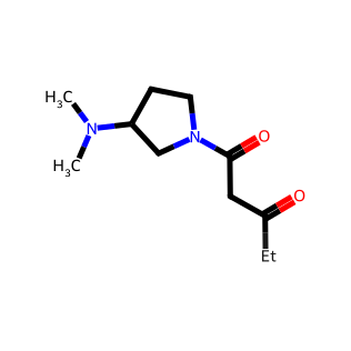 CCC(=O)CC(=O)N1CCC(N(C)C)C1